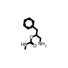 CNC(=O)OC(CN)Cc1ccccc1